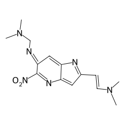 CN(C)C=CC1=NC2=CC(=NCN(C)C)C([N+](=O)[O-])=NC2=C1